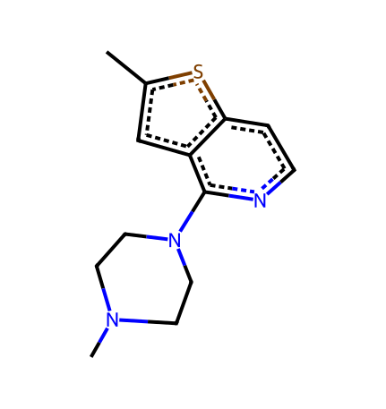 Cc1cc2c(N3CCN(C)CC3)nccc2s1